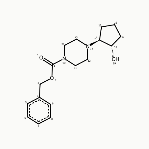 O=C(OCc1ccccc1)N1CCN([C@H]2CCC[C@@H]2O)CC1